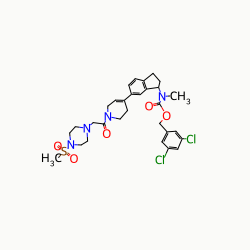 CN(C(=O)OCc1cc(Cl)cc(Cl)c1)C1CCc2ccc(C3=CCN(C(=O)CN4CCN(S(C)(=O)=O)CC4)CC3)cc21